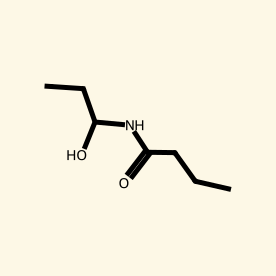 CCCC(=O)NC(O)CC